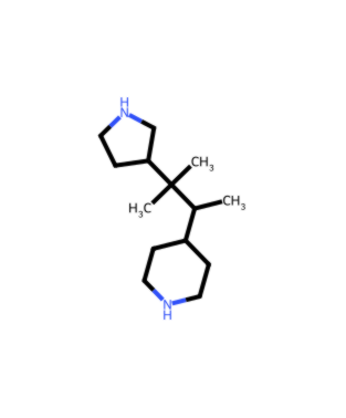 CC(C1CCNCC1)C(C)(C)C1CCNC1